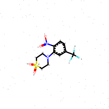 O=[N+]([O-])c1ccc(C(F)(F)F)cc1N1CCS(=O)(=O)CC1